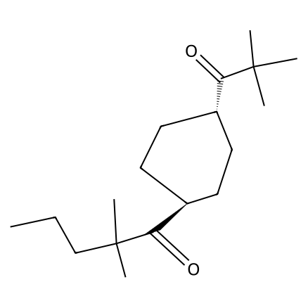 CCCC(C)(C)C(=O)[C@H]1CC[C@H](C(=O)C(C)(C)C)CC1